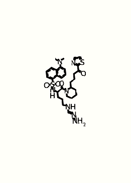 CN(C)c1cccc2c(S(=O)(=O)NC(CCCNC=NN)C(=O)N3CCCCC3CCCC(=O)c3nccs3)cccc12